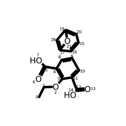 CCOc1c(C(=O)O)cccc1C(=O)O.c1cc2cc(c1)O2